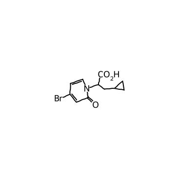 O=C(O)C(CC1CC1)n1ccc(Br)cc1=O